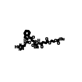 CC[C@H](C)[C@H](NC(=O)CCC(=O)OCCOC(=O)C(C)(C)C)C(=O)NCC(=O)N1c2ccccc2C[C@H]1C(=O)NCc1nn[nH]n1